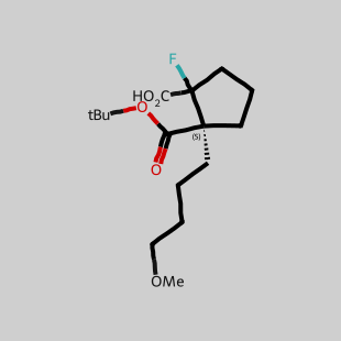 COCCCC[C@@]1(C(=O)OC(C)(C)C)CCCC1(F)C(=O)O